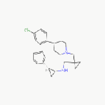 Clc1ccc(C2CCN(CC3(CNC4C[C@@H]4c4ccccc4)CC3)CC2)cc1